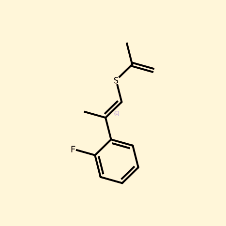 C=C(C)S/C=C(\C)c1ccccc1F